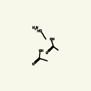 CC(=O)O.CC(=O)O.CO.N